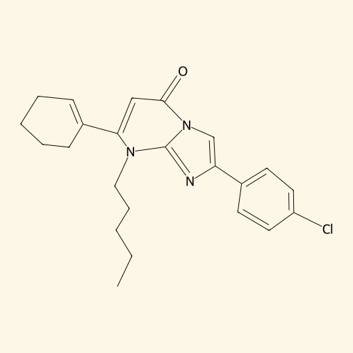 CCCCCn1c(C2=CCCCC2)cc(=O)n2cc(-c3ccc(Cl)cc3)nc12